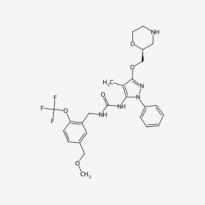 COCc1ccc(OC(F)(F)F)c(CNC(=O)Nc2c(C)c(OC[C@@H]3CNCCO3)nn2-c2ccccc2)c1